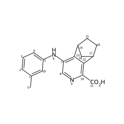 Cc1cccc(Nc2cnc(C(=O)O)c3c2C2CCC3C2)c1